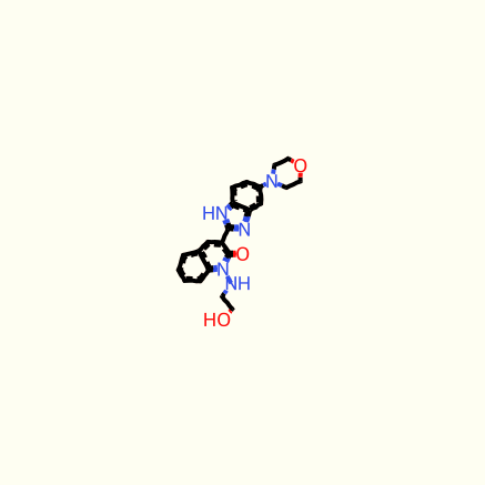 O=c1c(-c2nc3cc(N4CCOCC4)ccc3[nH]2)cc2ccccc2n1NCCO